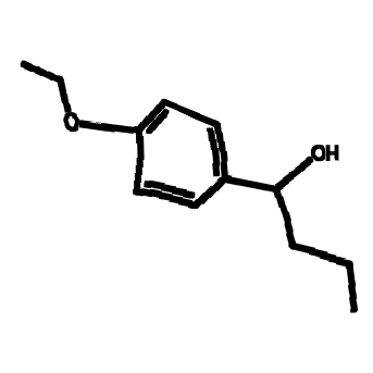 CCCC(O)c1ccc(OCC)cc1